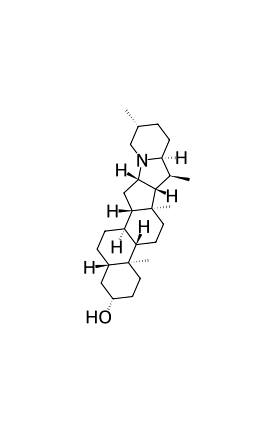 C[C@@H]1CC[C@H]2[C@@H](C)[C@H]3[C@H](C[C@H]4[C@@H]5CC[C@H]6C[C@@H](O)CC[C@]6(C)[C@H]5CC[C@]34C)N2C1